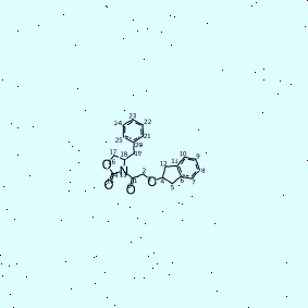 O=C(COC1Cc2ccccc2C1)N1C(=O)OCC1Cc1ccccc1